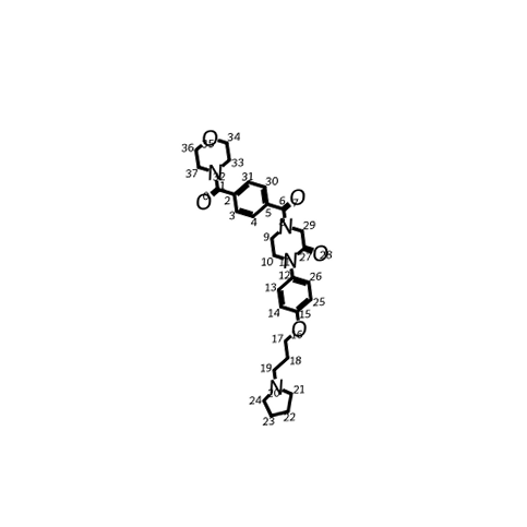 O=C(c1ccc(C(=O)N2CCN(c3ccc(OCCCN4CCCC4)cc3)C(=O)C2)cc1)N1CCOCC1